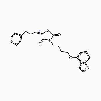 O=C1S/C(=C/CCc2ccccc2)C(=O)N1CCCCOc1cccc2nccn12